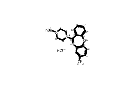 CCCCN1CCN(C2=Nc3cc(C(F)(F)F)ccc3Oc3ccccc32)CC1.Cl